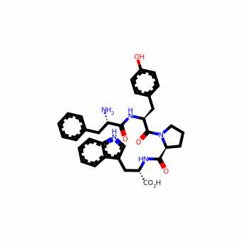 N[C@@H](Cc1ccccc1)C(=O)N[C@@H](Cc1ccc(O)cc1)C(=O)N1CCC[C@H]1C(=O)N[C@@H](Cc1c[nH]c2ccccc12)C(=O)O